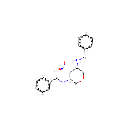 O=[N+]([O-])[C@@H]1[C@@H](NCc2ccccc2)COC[C@H]1NCc1ccccc1